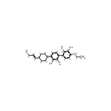 CCOc1ccc(-c2ccc(C3CCC(/C=C/CF)CC3)c(F)c2F)c(F)c1F